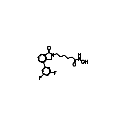 O=C(CCCCCN1Cc2c(cccc2-c2cc(F)cc(F)c2)C1=O)NO